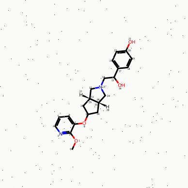 COc1ncccc1OC1C[C@@H]2CN(CC(O)c3ccc(O)cc3)C[C@@H]2C1